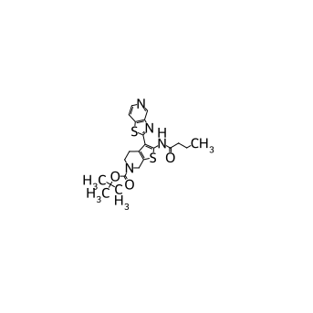 CCCC(=O)Nc1sc2c(c1-c1nc3cnccc3s1)CCN(C(=O)OC(C)(C)C)C2